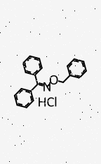 Cl.c1ccc(CON=C(c2ccccc2)c2ccccc2)cc1